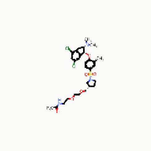 Cc1cc(S(=O)(=O)N2CC[C@H](COCCOCCNC(=O)C(F)(F)F)C2)ccc1O[C@H]1c2cc(Cl)cc(Cl)c2C[C@@H]1N(C)C